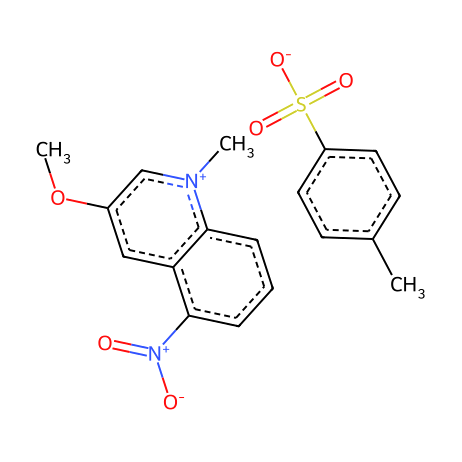 COc1cc2c([N+](=O)[O-])cccc2[n+](C)c1.Cc1ccc(S(=O)(=O)[O-])cc1